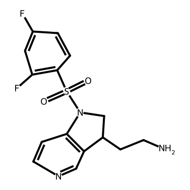 NCCC1CN(S(=O)(=O)c2ccc(F)cc2F)c2ccncc21